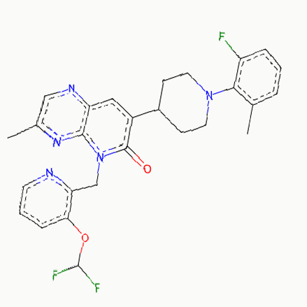 Cc1cnc2cc(C3CCN(c4c(C)cccc4F)CC3)c(=O)n(Cc3ncccc3OC(F)F)c2n1